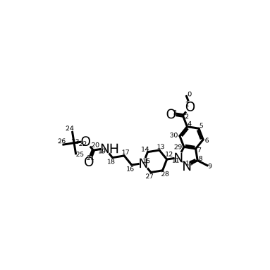 COC(=O)c1ccc2c(C)nn(C3CCN(CCCNC(=O)OC(C)(C)C)CC3)c2c1